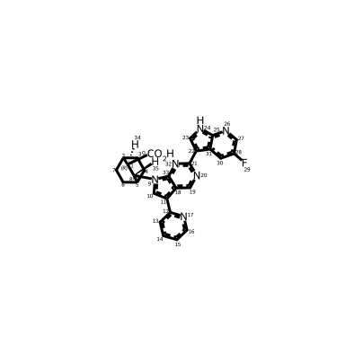 O=C(O)[C@@H]1C2CCC(CC2)[C@H]1n1cc(-c2ccccn2)c2cnc(-c3c[nH]c4ncc(F)cc34)nc21